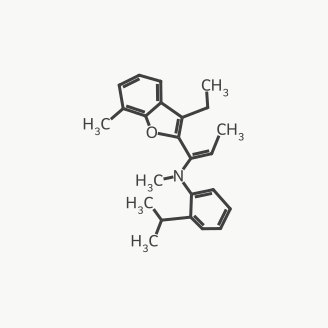 C/C=C(\c1oc2c(C)cccc2c1CC)N(C)c1ccccc1C(C)C